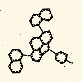 Fc1ccc(-n2c3ccc(-c4cccc5ccccc45)c4ccc5c(-c6cccc7ccccc67)ccc2c5c43)cc1